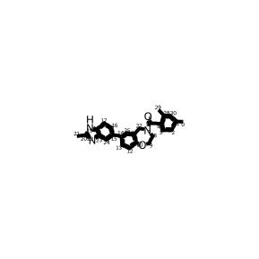 Cc1ccc(C(=O)N2CCOc3ccc(-c4ccc5[nH]c(C)nc5c4)cc3C2)c(C)c1